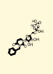 O=c1ccn([C@@H]2O[C@H](COP(=O)(O)OP(=O)(O)O)[C@H](O)[C@@H]2O)c(=O)n1Cc1ccccc1